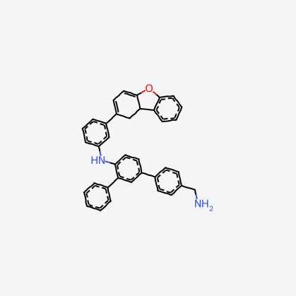 NCc1ccc(-c2ccc(Nc3cccc(C4=CC=C5Oc6ccccc6C5C4)c3)c(-c3ccccc3)c2)cc1